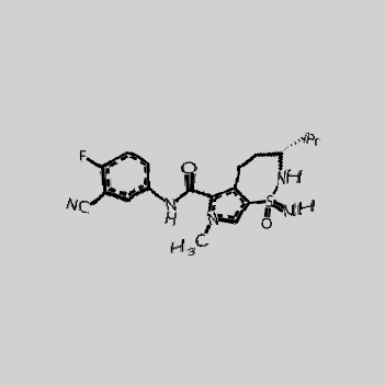 CC(C)[C@H]1CCc2c(cn(C)c2C(=O)Nc2ccc(F)c(C#N)c2)S(=N)(=O)N1